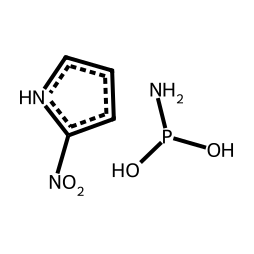 NP(O)O.O=[N+]([O-])c1ccc[nH]1